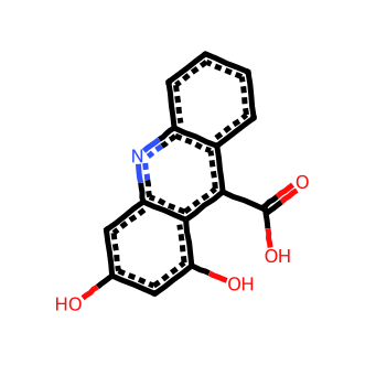 O=C(O)c1c2ccccc2nc2cc(O)cc(O)c12